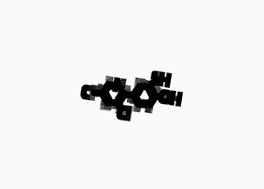 Oc1ccc(-c2ncc(Cl)cc2Cl)cc1S